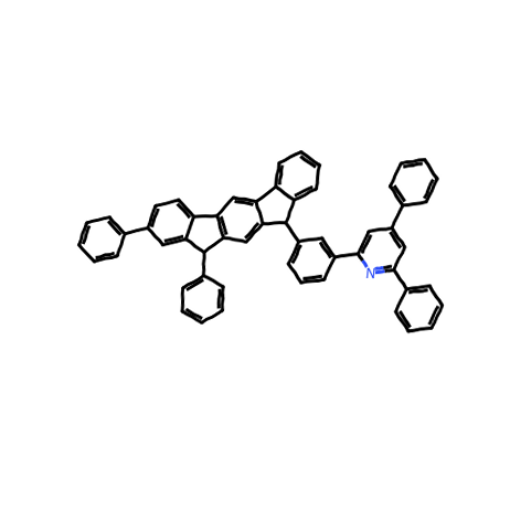 c1ccc(-c2cc(-c3ccccc3)nc(-c3cccc(C4c5ccccc5-c5cc6c(cc54)C(c4ccccc4)c4cc(-c5ccccc5)ccc4-6)c3)c2)cc1